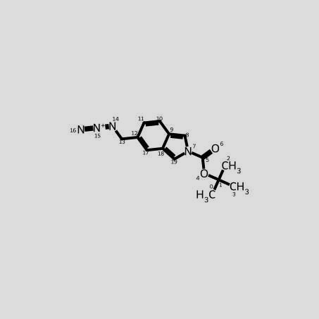 CC(C)(C)OC(=O)n1cc2ccc(CN=[N+]=[N-])cc2c1